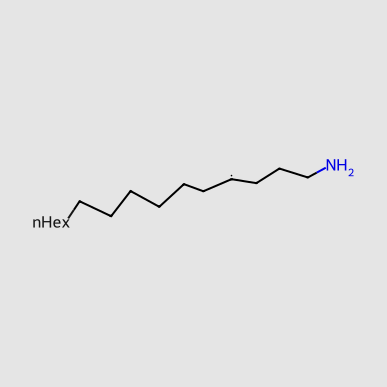 CCCCCCCCCCCC[CH]CCCN